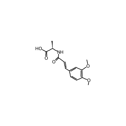 COc1ccc(/C=C/C(=O)N[C@H](C)C(=O)O)cc1OC